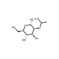 CC(N)O[C@H]1[C@@H](O)[C@H](O)[C@@H](CO)O[C@@H]1O